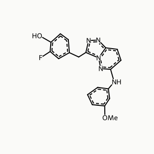 COc1cccc(Nc2ccc3nnc(Cc4ccc(O)c(F)c4)n3n2)c1